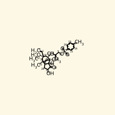 C=C[C@]1(C)C[C@@H](OC(=O)COS(=O)(=O)c2ccc(C)cc2)[C@]2(C)[C@H](C)CC[C@]3(C[C@H](O)C(=O)[C@H]32)[C@@H](C)[C@@H]1C